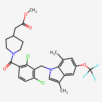 COC(=O)CC1CCN(C(=O)c2ccc(Cl)c(Cn3cc(C)c4cc(OC(F)(F)F)cc(C)c43)c2Cl)CC1